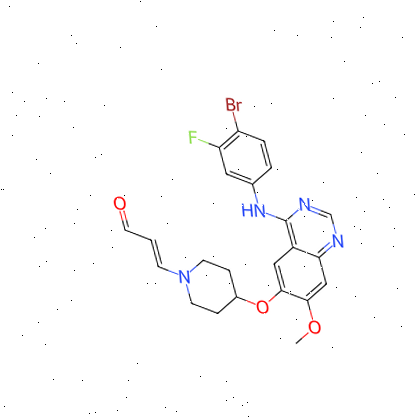 COc1cc2ncnc(Nc3ccc(Br)c(F)c3)c2cc1OC1CCN(C=CC=O)CC1